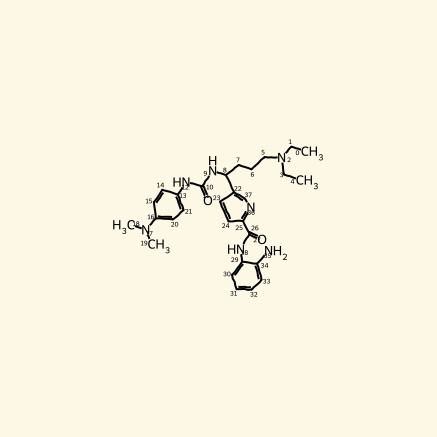 CCN(CC)CCCC(NC(=O)Nc1ccc(N(C)C)cc1)c1ccc(C(=O)Nc2ccccc2N)nc1